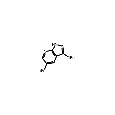 CC(C)c1cnc2[nH]nc(C(C)(C)C)c2c1